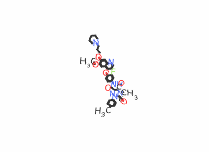 COc1cc2c(Oc3ccc(NC(=O)C4=NN(c5ccc(C)cc5)C(=C=O)N(C)C4=C=O)cc3F)ccnc2cc1OCCCN1CCCCC1